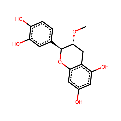 CO[C@@H]1Cc2c(O)cc(O)cc2O[C@H]1c1ccc(O)c(O)c1